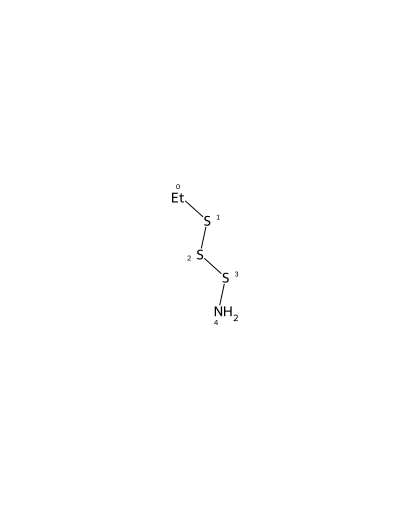 CCSSSN